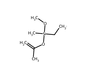 [CH2]C[Si](C)(OC)OC(=C)C